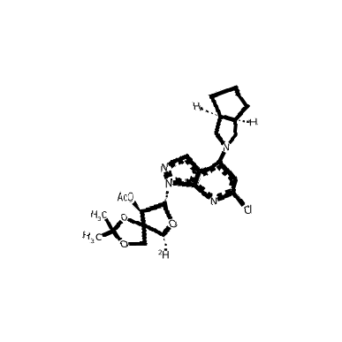 [2H][C@H]1O[C@@H](n2ncc3c(N4C[C@H]5CCC[C@H]5C4)cc(Cl)nc32)[C@H](OC(C)=O)C12COC(C)(C)O2